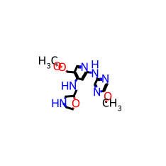 COOCc1cnc(Nc2cnc(OC)cn2)cc1NCC1CNCCO1